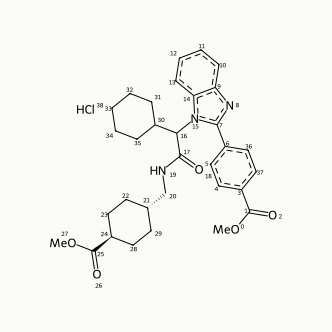 COC(=O)c1ccc(-c2nc3ccccc3n2C(C(=O)NC[C@H]2CC[C@H](C(=O)OC)CC2)C2CCCCC2)cc1.Cl